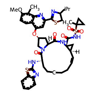 COc1ccc2c(O[C@@H]3C[C@H]4C(=O)N[C@]5(C(=O)NS(=O)(=O)C6(C)CC6)C[C@H]5/C=C\CCCCC[C@H](Nc5nc6ccccc6s5)C(=O)N4C3)cc(C3=NC(C(C)C)CS3)nc2c1C